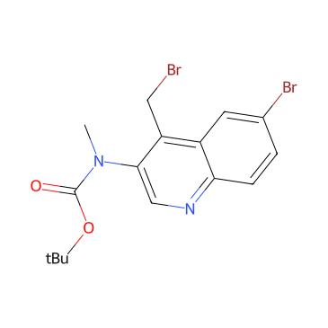 CN(C(=O)OC(C)(C)C)c1cnc2ccc(Br)cc2c1CBr